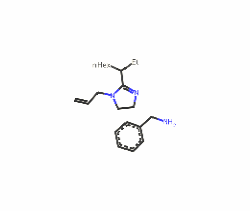 C=CCN1CCN=C1C(CC)CCCCCC.NCc1ccccc1